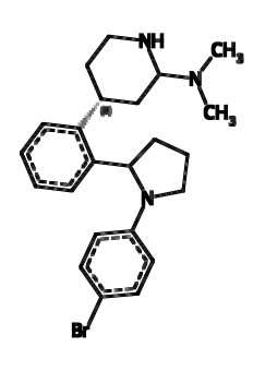 CN(C)C1C[C@H](c2ccccc2C2CCCN2c2ccc(Br)cc2)CCN1